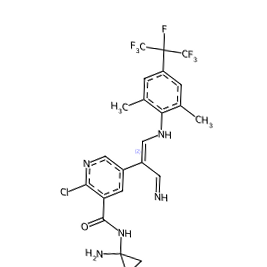 Cc1cc(C(F)(C(F)(F)F)C(F)(F)F)cc(C)c1N/C=C(\C=N)c1cnc(Cl)c(C(=O)NC2(N)CC2)c1